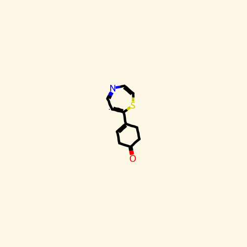 O=C1CC=C(C2=[C]C=NC=CS2)CC1